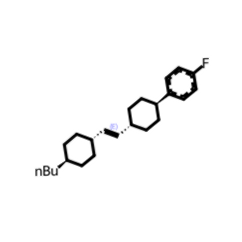 CCCC[C@H]1CC[C@H](/C=C/[C@H]2CC[C@H](c3ccc(F)cc3)CC2)CC1